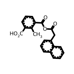 Cc1c(C(=O)O)cccc1C(=O)OC(=O)Cc1cccc2ccccc12